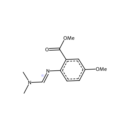 COC(=O)c1cc(OC)ccc1/N=C/N(C)C